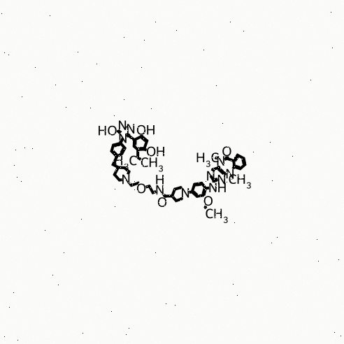 CCOc1cc(N2CCC(C(=O)NCCOCCN3CCC(Cc4ccc(-n5c(O)nnc5-c5cc(C(C)C)c(O)cc5O)cc4)CC3)CC2)ccc1Nc1ncc2c(n1)N(C)c1ccccc1C(=O)N2C